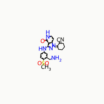 CS(=O)(=O)c1ccc(Nc2nn([C@H]3CCCC[C@@H]3C#N)c3cc[nH]c(=O)c23)cc1CN